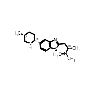 C[C@H]1CC[C@H](c2ccc3sc(C[C@@H](C)N(C)C)nc3c2)NC1